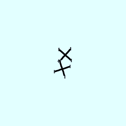 IC(I)(I)[N]C(I)(I)I